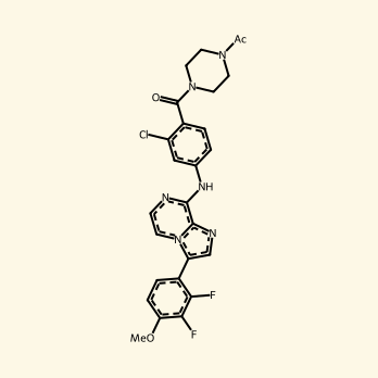 COc1ccc(-c2cnc3c(Nc4ccc(C(=O)N5CCN(C(C)=O)CC5)c(Cl)c4)nccn23)c(F)c1F